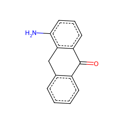 Nc1cccc2c1Cc1ccccc1C2=O